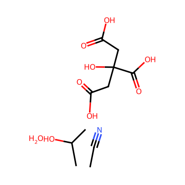 CC#N.CC(C)O.O.O=C(O)CC(O)(CC(=O)O)C(=O)O